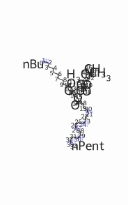 CCCC/C=C\CCCCCCCC(=O)O[C@H](COC(=O)CC/C=C\C/C=C\C/C=C\C/C=C\C/C=C\CCCCC)COP(=O)([O-])OCC[N+](C)(C)C